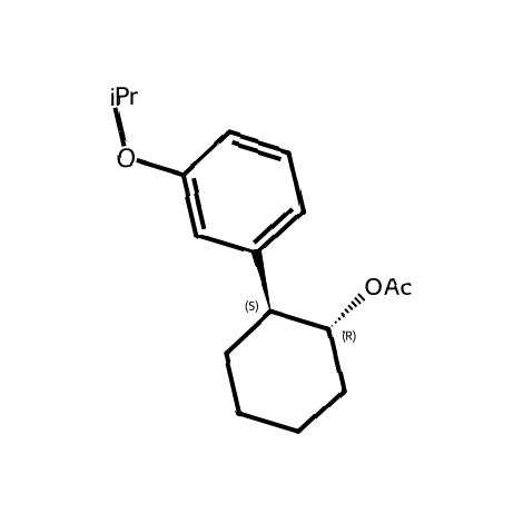 CC(=O)O[C@@H]1CCCC[C@H]1c1cccc(OC(C)C)c1